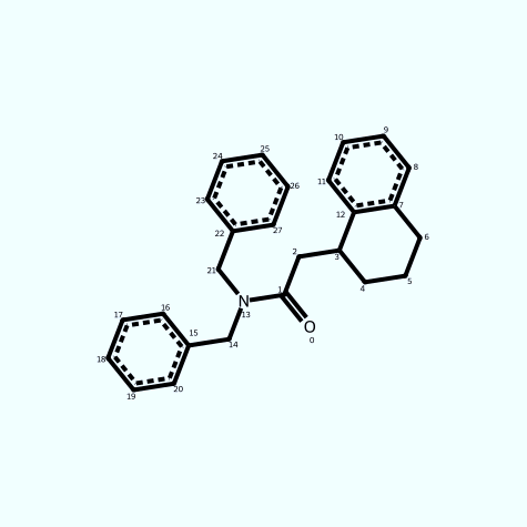 O=C(CC1CCCc2[c]cccc21)N(Cc1ccccc1)Cc1ccccc1